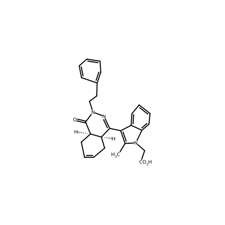 Cc1c(C2=NN(CCc3ccccc3)C(=O)[C@@H]3CC=CC[C@H]23)c2ccccc2n1CC(=O)O